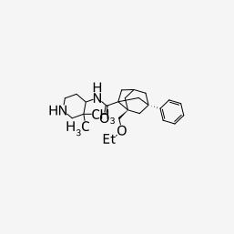 CCOC[C@]12CC3CC1(C(=O)NC1CCNCC1(C)C)C[C@@](c1ccccc1)(C3)C2